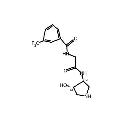 O=C(CNC(=O)c1cccc(C(F)(F)F)c1)N[C@H]1CNC[C@@H]1O